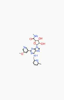 CNC(=O)C1OC(n2cnc3c(NCc4cccc(C)n4)nc(-c4cncc(OC)c4)nc32)C(O)C1O